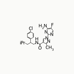 Cc1nn(-c2ncc(F)c(N)n2)cc1C(=O)NCC(CC(C)C)c1ccc(Cl)cc1